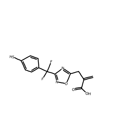 C=C(Cc1nc(C(F)(F)c2ccc(S)cc2)no1)C(=O)O